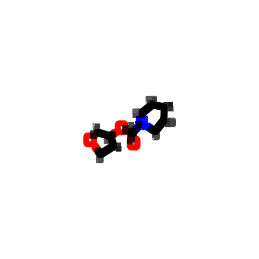 O=C(OC1CCOC1)N1CC[CH]CC1